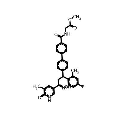 COC(=O)CNC(=O)c1ccc(-c2ccc(C(C/C(=N\O)c3c[nH]c(=O)c(C)c3)c3ccc(F)cc3C)cc2)cc1